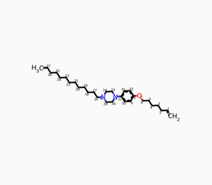 C=CCCCCCOc1ccc(N2CCN(CCCCCCCCCCCCC)CC2)cc1